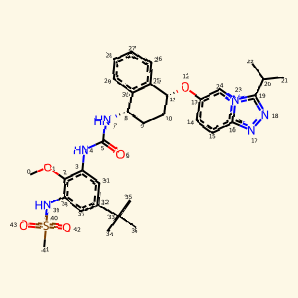 COc1c(NC(=O)N[C@H]2CC[C@@H](Oc3ccc4nnc(C(C)C)n4c3)c3ccccc32)cc(C(C)(C)C)cc1NS(C)(=O)=O